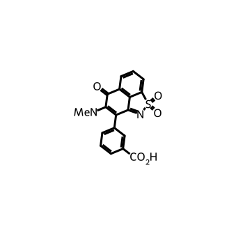 CNC1=C(c2cccc(C(=O)O)c2)C2=NS(=O)(=O)c3cccc(c32)C1=O